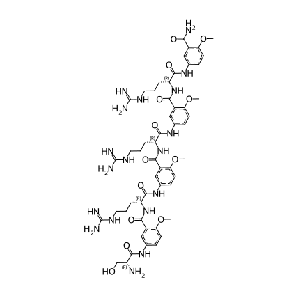 COc1ccc(NC(=O)[C@@H](CCCNC(=N)N)NC(=O)c2cc(NC(=O)[C@@H](CCCNC(=N)N)NC(=O)c3cc(NC(=O)[C@@H](CCCNC(=N)N)NC(=O)c4cc(NC(=O)[C@H](N)CO)ccc4OC)ccc3OC)ccc2OC)cc1C(N)=O